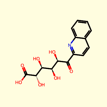 O=C(O)[C@@H](O)[C@@H](O)[C@H](O)[C@@H](O)C(=O)c1ccc2ccccc2n1